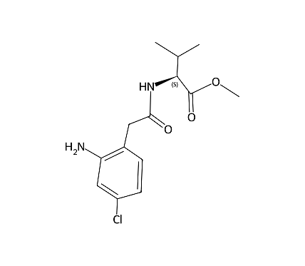 COC(=O)[C@@H](NC(=O)Cc1ccc(Cl)cc1N)C(C)C